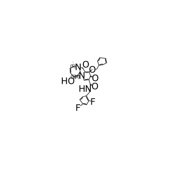 C[C@H]1C=C[C@H](O)[C@@]2(C)CN1C(=O)c1c(OCc3ccccc3)c(=O)c(C(=O)NCc3ccc(F)cc3F)cn12